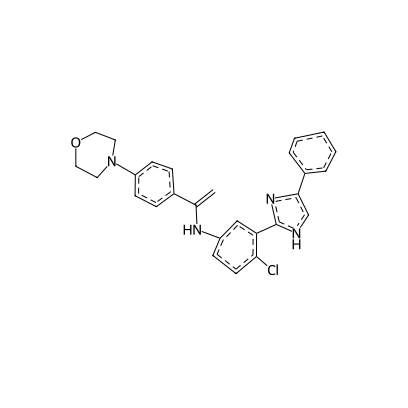 C=C(Nc1ccc(Cl)c(-c2nc(-c3ccccc3)c[nH]2)c1)c1ccc(N2CCOCC2)cc1